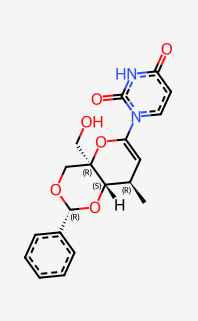 C[C@@H]1C=C(n2ccc(=O)[nH]c2=O)O[C@]2(CO)CO[C@@H](c3ccccc3)O[C@@H]12